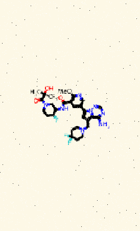 COc1ncc(-c2cc(CN3CCC(F)(F)CC3)c3c(N)ncnn23)cc1C(=O)NC1CN(C(=O)[C@@](C)(O)C(F)(F)F)CCC1F